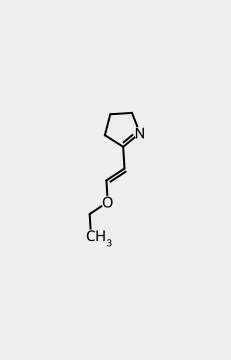 CCOC=CC1=NCCC1